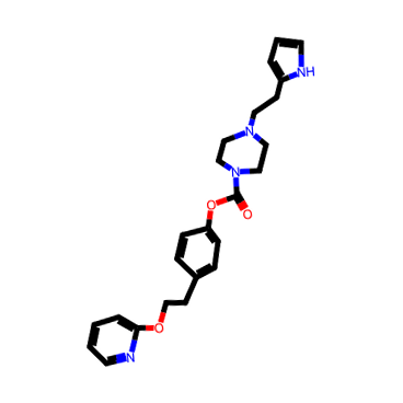 O=C(Oc1ccc(CCOc2ccccn2)cc1)N1CCN(CCc2ccc[nH]2)CC1